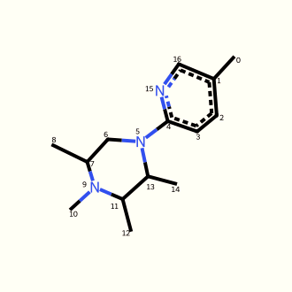 Cc1ccc(N2CC(C)N(C)C(C)C2C)nc1